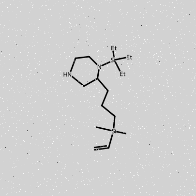 C=C[Si](C)(C)CCCC1CNCCN1[Si](CC)(CC)CC